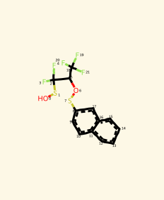 OSC(F)(F)C(OSc1ccc2ccccc2c1)C(F)(F)F